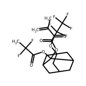 C=C(C)C(=O)OC12CC3CC(C1)C(OC(=O)C(C)(F)F)(OC(=O)C(F)(F)C(F)(F)F)C(C3)C2